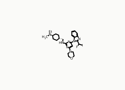 CCN(C)[C@H]1CC[C@H](CNc2nc(N3CCOCC3)cc(-n3c(C(F)I)nc4ccccc43)n2)CC1